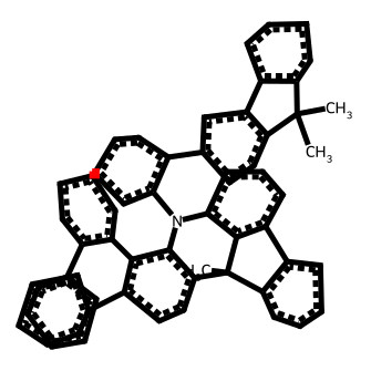 CC1(C)c2ccccc2-c2cc(-c3ccccc3N3c4cccc5c4C(C)(c4ccccc4-5)c4ccc(-c5ccccc5)c(-c5ccccc5-c5ccccc5)c43)ccc21